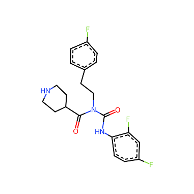 O=C(Nc1ccc(F)cc1F)N(CCc1ccc(F)cc1)C(=O)C1CCNCC1